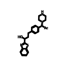 CC(=O)N(c1ccc(CCC(O)c2nc3ccccc3s2)cc1)N1CCNCC1